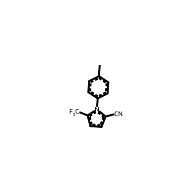 Cc1ccc(-n2c(C#N)ccc2C(F)(F)F)cc1